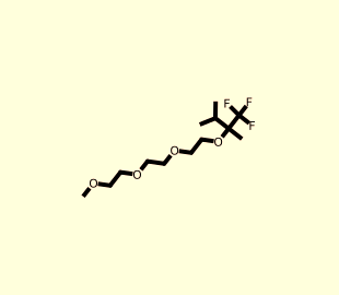 COCCOCCOCCOC(C)(C(C)C)C(F)(F)F